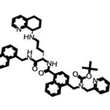 CC(C)(C)OC(=O)N(Cc1ccccn1)Cc1ccc(C(=O)N[C@@H](CCCN[C@H]2CCCc3cccnc32)C(=O)NCc2cccc3ccccc23)c2ccccc12